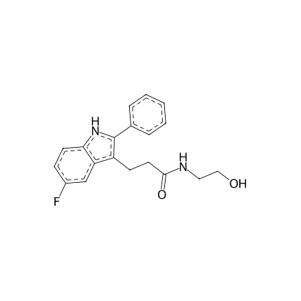 O=C(CCc1c(-c2ccccc2)[nH]c2ccc(F)cc12)NCCO